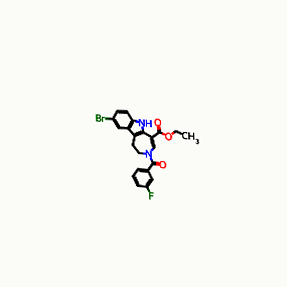 CCOC(=O)C1=CN(C(=O)c2cccc(F)c2)CCc2c1[nH]c1ccc(Br)cc21